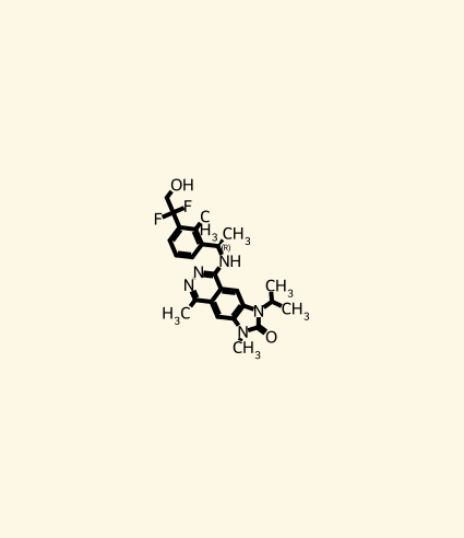 Cc1c([C@@H](C)Nc2nnc(C)c3cc4c(cc23)n(C(C)C)c(=O)n4C)cccc1C(F)(F)CO